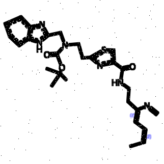 C=N/C(=C\C=C/C)CCNC(=O)c1csc(CCN(Cc2nc3ccccc3[nH]2)C(=O)OC(C)(C)C)n1